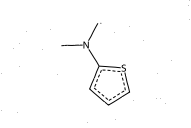 [CH2]N(C)c1cccs1